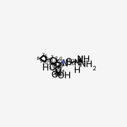 C[C@]12CC[C@H](c3ccccc3)C[C@@]1(O)CC[C@@H]2/C=N/OCCNC(=N)N.O=[N+]([O-])O